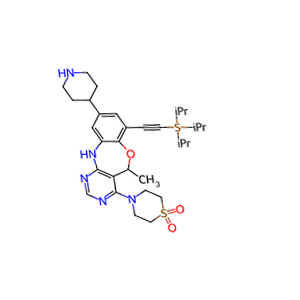 CC1Oc2c(C#CS(C(C)C)(C(C)C)C(C)C)cc(C3CCNCC3)cc2Nc2ncnc(N3CCS(=O)(=O)CC3)c21